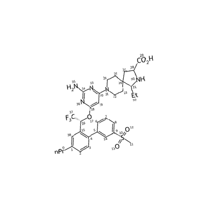 CCCc1ccc(-c2cccc(S(C)(=O)=O)c2)c([C@@H](Oc2cc(N3CCC4(CC3)CC(C(=O)O)NC4CC)nc(N)n2)C(F)(F)F)c1